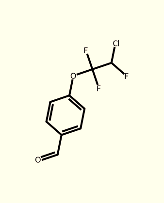 O=Cc1ccc(OC(F)(F)C(F)Cl)cc1